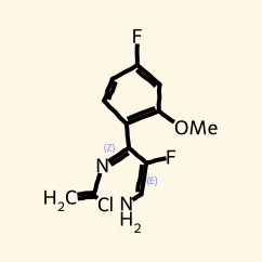 C=C(Cl)/N=C(\C(F)=C/N)c1ccc(F)cc1OC